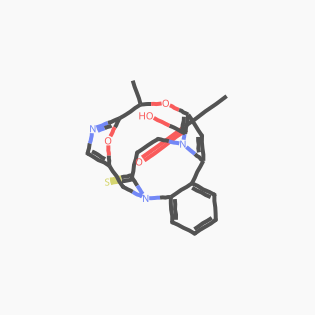 CC1Oc2cc3n(c(=O)c2O)CCC(=S)N(Cc2cnc1o2)c1ccccc1-3